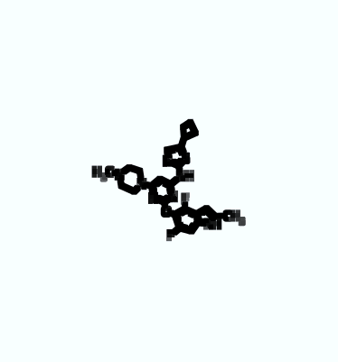 Cc1cc2c(F)c(Oc3nc(Nc4ncc(C5CCC5)s4)cc(N4CCN(C)CC4)n3)c(F)cc2[nH]1